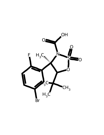 CC(C)(C)C1OS(=O)(=O)N(C(=O)O)[C@]1(C)c1cc(Br)ccc1F